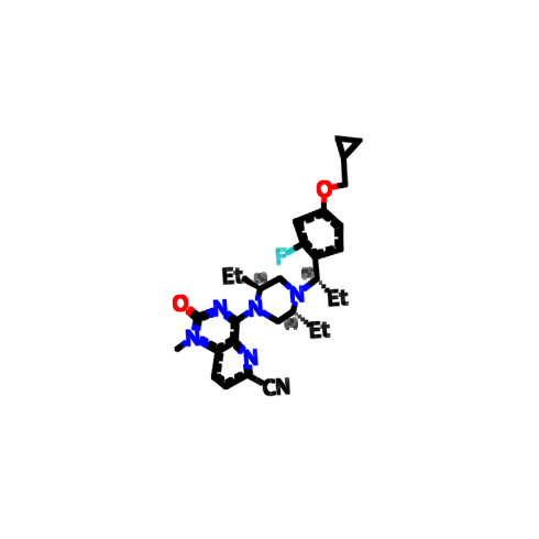 CC[C@H]1CN([C@@H](CC)c2ccc(OCC3CC3)cc2F)[C@H](CC)CN1c1nc(=O)n(C)c2ccc(C#N)nc12